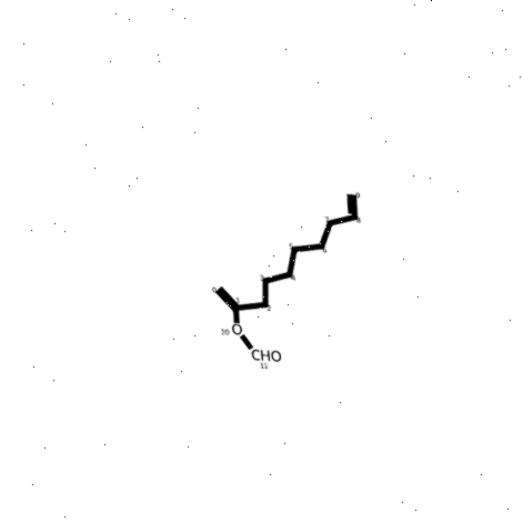 [CH]=C(CCCCCCC=C)OC=O